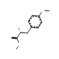 COc1ccc(C[C@H](N)C(=O)OCl)cc1